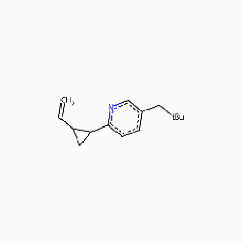 C=CC1CC1c1ccc(CC(C)(C)C)cn1